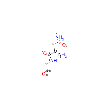 NC(=O)CC(N)C(=O)NC[C]=O